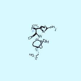 C/N=C(/C(=O)N[C@H]1CC[C@@H](CC(=O)O)OB1O)c1csc(N)n1